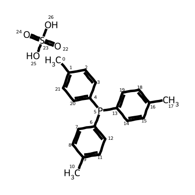 Cc1ccc(P(c2ccc(C)cc2)c2ccc(C)cc2)cc1.O=S(=O)(O)O